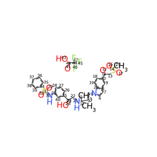 CC(C)(CCn1ccc2cc(C(=O)CS(C)(=O)=O)ccc21)NC[C@H](O)c1cccc(NS(=O)(=O)c2ccccc2)c1.O=C(O)C(F)(F)F